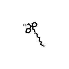 OCC(C1CCCC1)C1(CCOCCCCCCBr)CCCC1